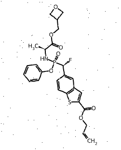 C=CCOC(=O)c1cc2cc([C@H](F)P(=O)(N[C@@H](C)C(=O)OCC3COC3)Oc3ccccc3)ccc2s1